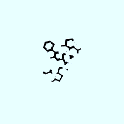 C=CC(=O)N1C(I)CCC1CN(C)c1nc(=O)n(-c2c(C)ccnc2C(C)C)c2nc(-c3ccccc3F)c(Cl)cc12